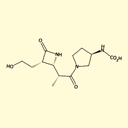 C[C@@H](C(=O)N1CC[C@@H](NC(=O)O)C1)[C@H]1NC(=O)[C@H]1CCO